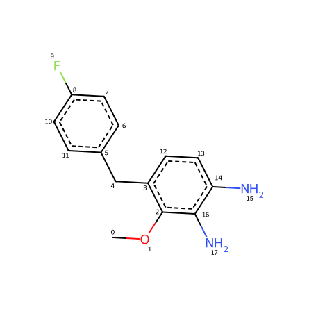 COc1c(Cc2ccc(F)cc2)ccc(N)c1N